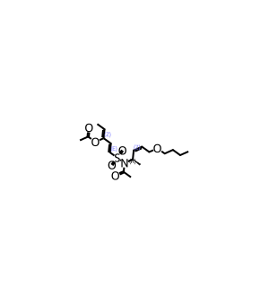 C/C=C(/C=C/S(=O)(=O)N(C(C)=O)[C@H](C)/C=C\COCCCC)OC(C)=O